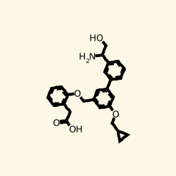 NC(CO)c1cccc(-c2cc(COc3ccccc3CC(=O)O)cc(OCC3CC3)c2)c1